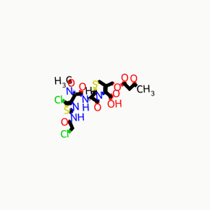 CO/N=C(\C(=O)N[C@@H]1C(=O)N2C(C(=O)O)=C(COC(=O)CC(C)=O)CS[C@H]12)c1nc(NC(=O)CCl)sc1Cl